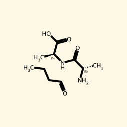 CCCC=O.C[C@H](N)C(=O)N[C@@H](C)C(=O)O